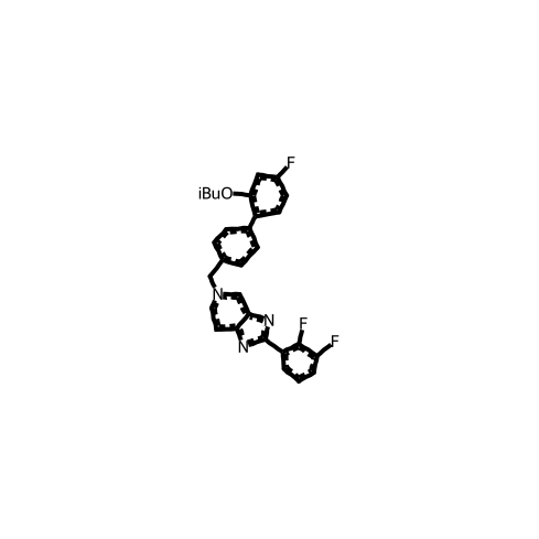 CC(C)COc1cc(F)ccc1-c1ccc(Cn2ccc3nc(-c4cccc(F)c4F)nc-3c2)cc1